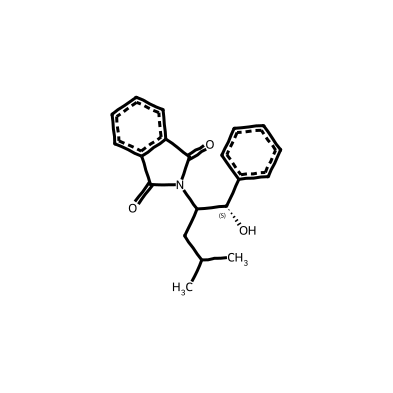 CC(C)CC([C@@H](O)c1ccccc1)N1C(=O)c2ccccc2C1=O